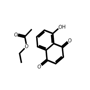 CCOC(C)=O.O=C1C=CC(=O)c2c(O)cccc21